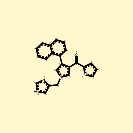 O=C(c1cccs1)c1cn(Cc2c[nH]cn2)cc1-c1cccc2ccccc12